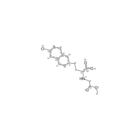 COC(=O)CNC(CCc1ccc2cc(Cl)ccc2c1)=S(=O)=O